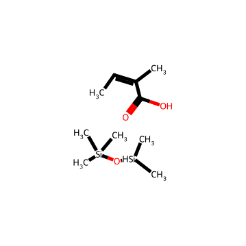 CC=C(C)C(=O)O.C[SiH](C)O[Si](C)(C)C